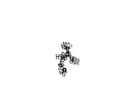 CNC(=O)c1cc([C@H]2CC[C@@H](COP(=O)(S)O[C@H]3C[C@H](n4cnc5c(N)ncnc54)O[C@@H]3COP(=O)(O)S)O2)ccn1